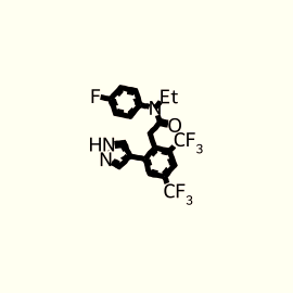 CCN(C(=O)Cc1c(-c2cn[nH]c2)cc(C(F)(F)F)cc1C(F)(F)F)c1ccc(F)cc1